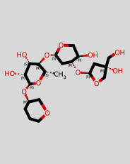 C[C@@H]1O[C@@H](O[C@@H]2CCCOC2)[C@H](O)[C@H](O)[C@H]1O[C@H]1C[C@@H](O[C@H]2C[C@@](O)(CO)CO2)[C@H](O)CO1